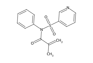 C=C(C)C(=O)N(c1ccccc1)S(=O)(=O)c1cccnc1